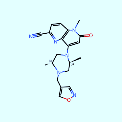 C[C@@H]1CN(c2cc(=O)n(C)c3ccc(C#N)nc23)[C@@H](C)CN1Cc1cnoc1